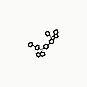 c1ccc(-c2ccc(N(c3ccc(-c4ccc5c6ccc7ccccc7c6n(-c6ccccc6)c5c4)cc3)c3cccc4ccccc34)cc2)cc1